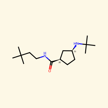 CC(C)(C)CCNC(=O)[C@@H]1CC[C@H](NC(C)(C)C)C1